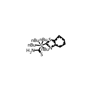 CCCCS(CCCC)(CCCC)(CCCC)(C(N)=S)c1nc2ccccc2s1